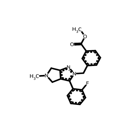 COC(=O)c1cccc(Cn2nc3c(c2-c2ccccc2F)CN(C)C3)c1